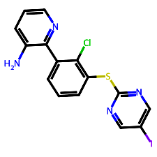 Nc1cccnc1-c1cccc(Sc2ncc(I)cn2)c1Cl